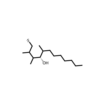 CCCCCCCC(C)[C@H](O)C(C)C(C)C[S]